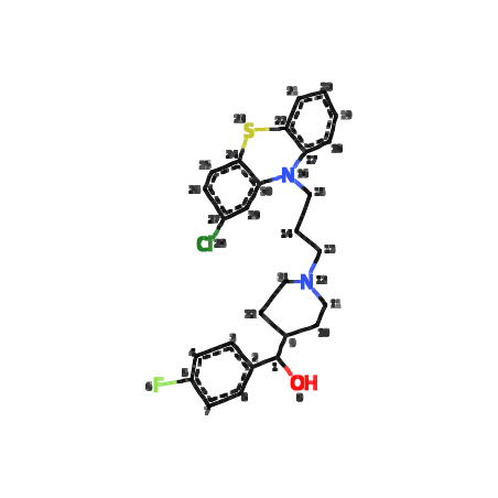 OC(c1ccc(F)cc1)C1CCN(CCCN2c3ccccc3Sc3ccc(Cl)cc32)CC1